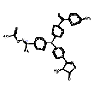 CC(=O)O/N=C(\C)c1ccc(N(c2ccc(C(=O)c3ccc(C)cc3)cc2)c2ccc(C3=NOC(=O)C3C)cc2)cc1